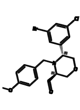 COc1ccc(CN2[C@H](C=O)COC[C@H]2c2cc(Cl)cc(Br)c2)cc1